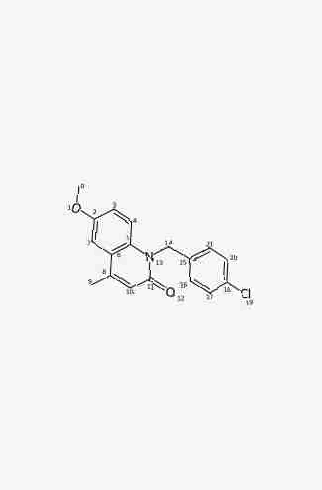 COc1ccc2c(c1)c(C)cc(=O)n2Cc1ccc(Cl)cc1